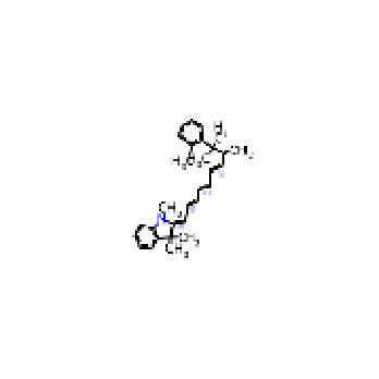 C=C(/C=C/C=C/C=C/C=C1\N(C)c2ccccc2C1(C)C)C(C)(C)c1ccccc1C